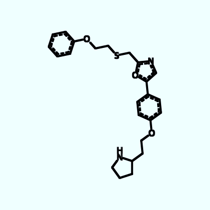 c1ccc(OCCSCc2ncc(-c3ccc(OCCC4CCCN4)cc3)o2)cc1